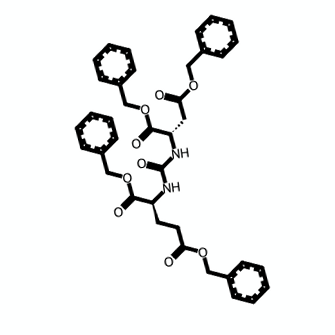 O=C(N[C@@H](CCC(=O)OCc1ccccc1)C(=O)OCc1ccccc1)N[C@@H](CC(=O)OCc1ccccc1)C(=O)OCc1ccccc1